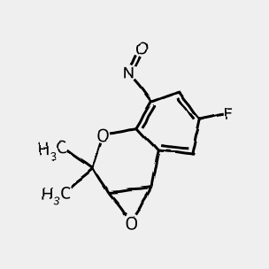 CC1(C)Oc2c(N=O)cc(F)cc2C2OC21